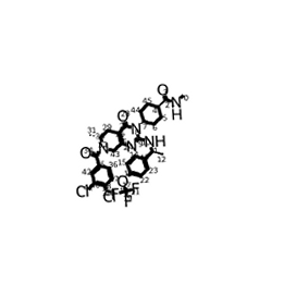 CNC(=O)[C@H]1CC[C@H](n2c(N[C@@H](C)c3ccc(OC(F)(F)F)cc3)nc3c(c2=O)C[C@@H](C)N(C(=O)c2ccc(Cl)c(Cl)c2)C3)CC1